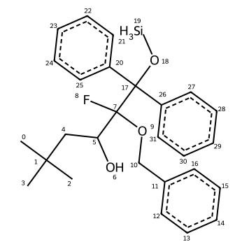 CC(C)(C)CC(O)C(F)(OCc1ccccc1)C(O[SiH3])(c1ccccc1)c1ccccc1